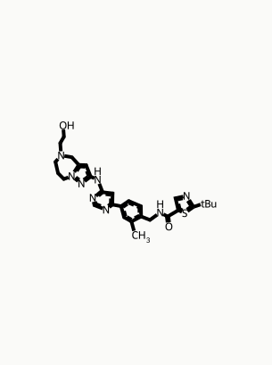 Cc1cc(-c2cc(Nc3cc4n(n3)CCCN(CCO)C4)ncn2)ccc1CNC(=O)c1cnc(C(C)(C)C)s1